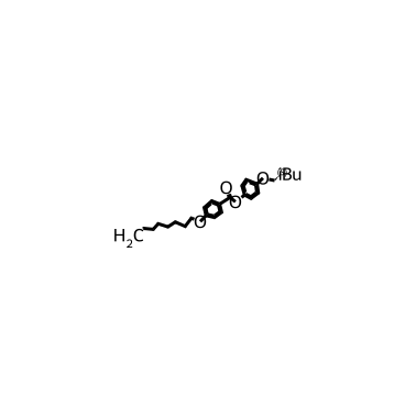 C=CCCCCCCOc1ccc(C(=O)Oc2ccc(OC[C@@H](C)CC)cc2)cc1